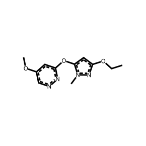 CCOc1cc(Oc2cc(OC)cnn2)n(C)n1